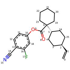 C=C[C@H]1CC[C@H](C2(C(=O)Oc3ccc(C#N)c(F)c3)CCCCC2)CC1